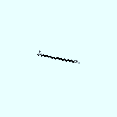 CCCCCCCCCCCCCCCCCCC[CH2][SnH]=[S]